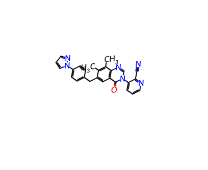 Cc1c(Cc2ccc(-n3cccn3)cc2)cc2c(=O)n(-c3cccnc3C#N)cnc2c1C